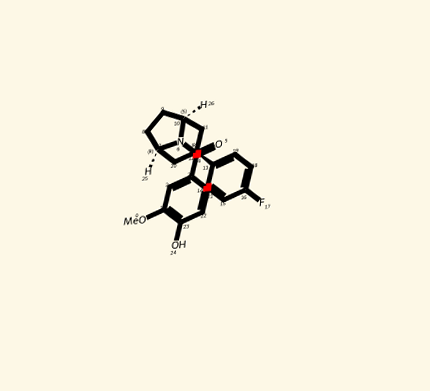 COc1cc(C(=O)N2[C@@H]3CC[C@H]2C[C@@H](c2ccc(F)cc2)C3)ccc1O